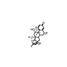 CC12C[C@H](O)[C@@]3(F)C(C[C@H](F)C4=CC(=O)C=CC43C)C1C[C@H]1C=C(F)O[C@]12C(=O)S